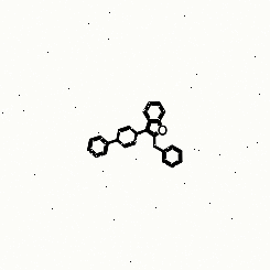 C1=CC(c2ccccc2)C=C[C]1c1c(Cc2ccccc2)oc2ccccc12